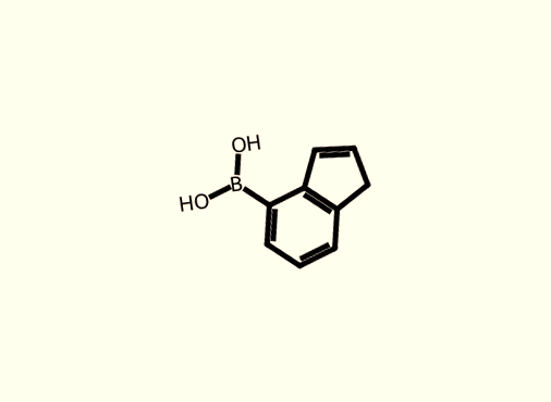 OB(O)c1cccc2c1C=CC2